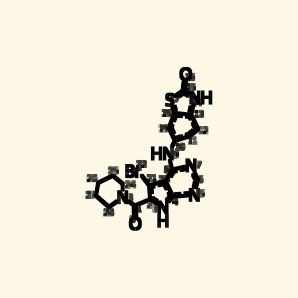 O=C(c1[nH]c2ncnc(Nc3ccc4[nH]c(=O)sc4c3)c2c1Br)N1CCCCC1